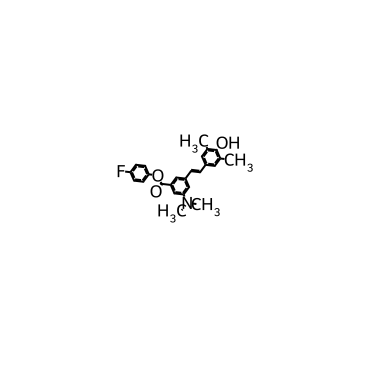 Cc1cc(C=Cc2cc(C(=O)Oc3ccc(F)cc3)cc(N(C)C)c2)cc(C)c1O